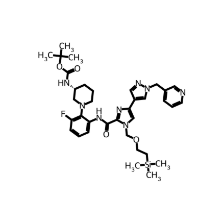 CC(C)(C)OC(=O)N[C@@H]1CCCN(c2c(F)cccc2NC(=O)c2nc(-c3cnn(Cc4cccnc4)c3)cn2COCC[Si](C)(C)C)C1